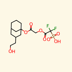 O=C(COC(=O)C(F)(F)S(=O)(=O)O)OC12CCCC(CC(CCO)C1)C2